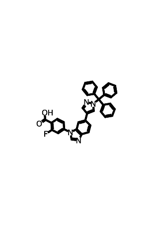 O=C(O)c1ccc(-n2cnc3ccc(-c4cnn(C(c5ccccc5)(c5ccccc5)c5ccccc5)c4)cc32)cc1F